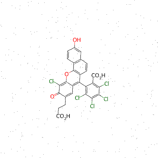 O=C(O)CCc1cc2c(-c3c(Cl)c(Cl)c(Cl)c(Cl)c3C(=O)O)c3ccc4cc(O)ccc4c3oc-2c(Cl)c1=O